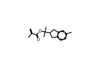 C=C(C)C(=O)OC(C)(C)C1Cc2ccc(C)cc2C1